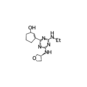 CCNc1nc(N[C@H]2CCOC2)nc(C2=CC(O)CCC2)n1